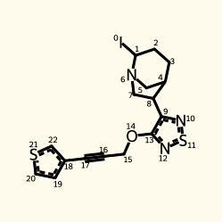 IC1CCC2CN1CC2c1nsnc1OCC#Cc1ccsc1